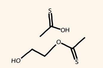 CC(=S)OCCO.CC(O)=S